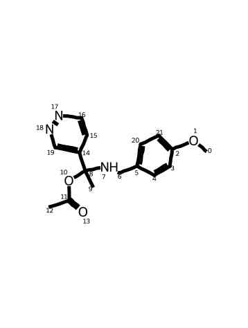 COc1ccc(CNC(C)(OC(C)=O)c2ccnnc2)cc1